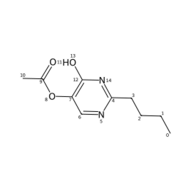 CCCCc1ncc(OC(C)=O)c(O)n1